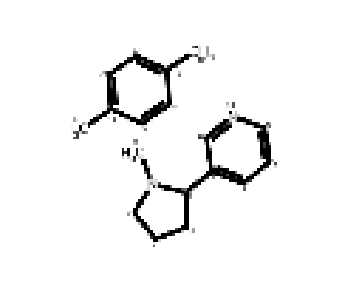 CN1CCCC1c1cccnc1.Cc1ccc(C)cc1